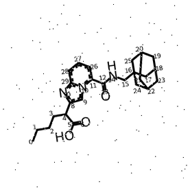 CCCCC(C(=O)O)c1cn2c(C(=O)NCC34CC5CC(CC(C5)C3)C4)cccc2n1